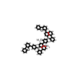 Cc1cc(N(c2ccc(-c3cccc4c3oc3ccccc34)cc2)c2ccccc2-c2ccccc2)ccc1-c1ccc(N(c2ccc(-c3cccc4c3oc3ccccc34)cc2)c2ccccc2-c2ccccc2)cc1C